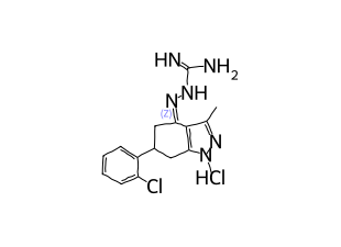 Cc1nn(C)c2c1/C(=N\NC(=N)N)CC(c1ccccc1Cl)C2.Cl